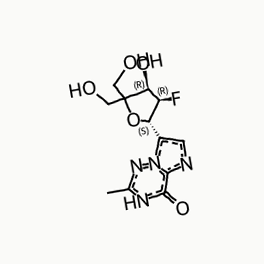 Cc1nn2c([C@@H]3OC(CO)(CO)[C@@H](O)[C@H]3F)cnc2c(=O)[nH]1